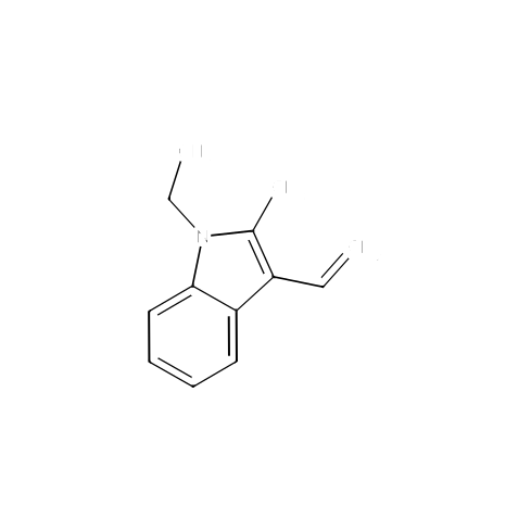 C=Cc1c(C)n(CC)c2ccccc12